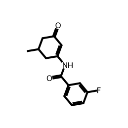 CC1CC(=O)C=C(NC(=O)c2cccc(F)c2)C1